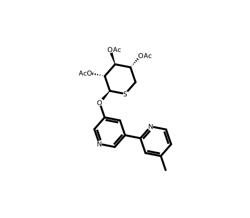 CC(=O)O[C@@H]1[C@@H](OC(C)=O)[C@H](OC(C)=O)CS[C@H]1Oc1cncc(-c2cc(C)ccn2)c1